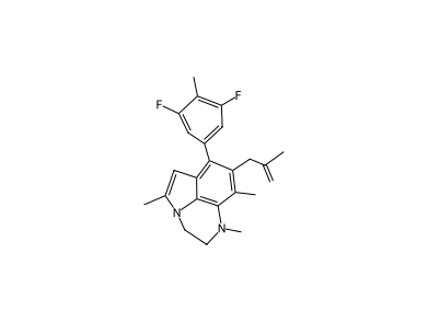 C=C(C)Cc1c(C)c2c3c(cc(C)n3CCN2C)c1-c1cc(F)c(C)c(F)c1